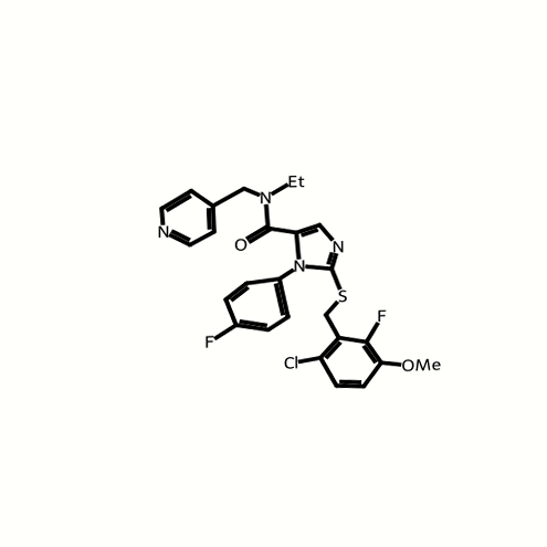 CCN(Cc1ccncc1)C(=O)c1cnc(SCc2c(Cl)ccc(OC)c2F)n1-c1ccc(F)cc1